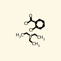 CCN(CC)CC.O=C(Cl)c1ccccc1Cl